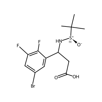 CC(C)(C)[S@@+]([O-])NC(CC(=O)O)c1cc(Br)cc(F)c1F